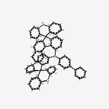 c1ccc(-c2ccc(N(c3ccc4c(c3)C3(c5ccccc5Oc5ccccc53)c3ccccc3-4)c3cccc4c3-c3c(ccc5ccccc35)C43c4ccccc4Sc4ccccc43)cc2)cc1